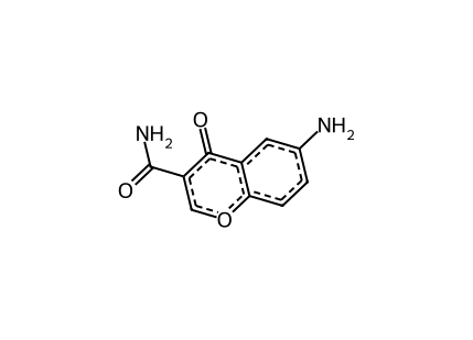 NC(=O)c1coc2ccc(N)cc2c1=O